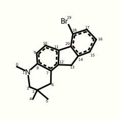 CN1CC(C)(C)Cc2c1ccc1c2Cc2cccc(Br)c2-1